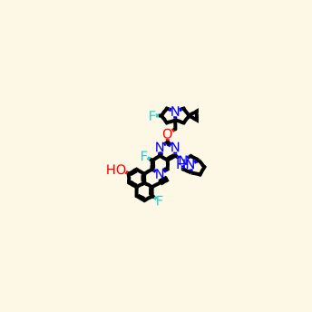 C#Cc1c(F)ccc2cc(O)cc(-c3ncc4c(N5CC6CCC(C5)N6)nc(OCC56CC(F)CN5CC5(CC5)C6)nc4c3F)c12